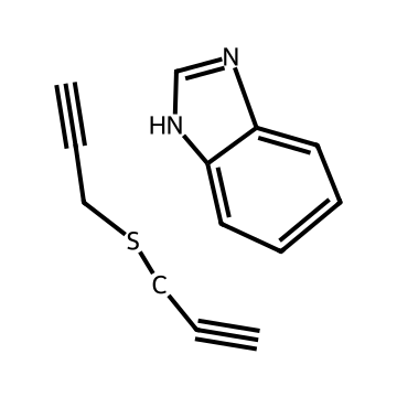 C#CCSCC#C.c1ccc2[nH]cnc2c1